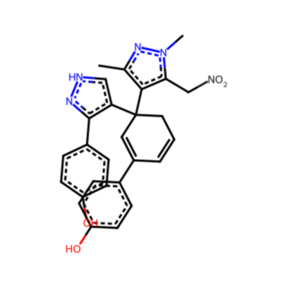 Cc1nn(C)c(C[N+](=O)[O-])c1C1(c2c[nH]nc2-c2ccc(O)cc2)C=C(c2ccc(O)cc2)C=CC1